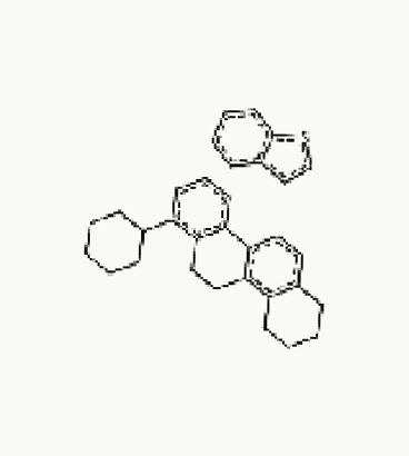 c1cc2c(c(C3CCCCC3)c1)CCc1c-2ccc2c1CCCC2.c1ccc2sccc2c1